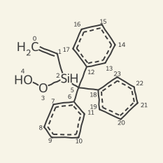 C=C[SiH](OO)C(c1ccccc1)(c1ccccc1)c1ccccc1